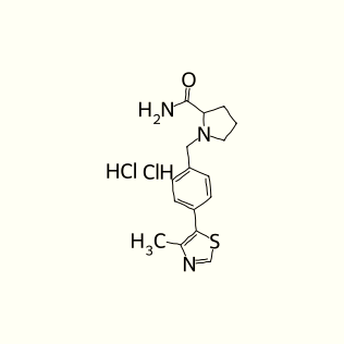 Cc1ncsc1-c1ccc(CN2CCCC2C(N)=O)cc1.Cl.Cl